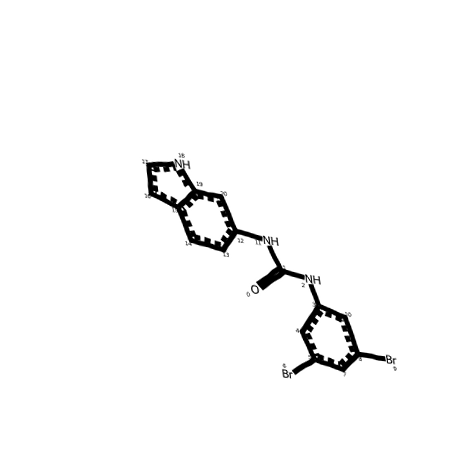 O=C(Nc1cc(Br)cc(Br)c1)Nc1ccc2cc[nH]c2c1